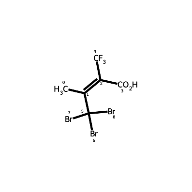 C/C(=C(/C(=O)O)C(F)(F)F)C(Br)(Br)Br